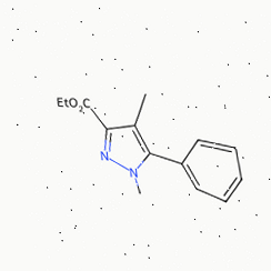 CCOC(=O)c1nn(C)c(-c2ccccc2)c1C